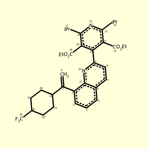 C=C(c1cccc2ccc(-c3c(C(=O)OCC)c(C(C)C)nc(C(C)C)c3C(=O)OCC)nc12)C1CCC(C(F)(F)F)CC1